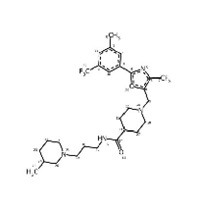 Cc1cc(-c2nc(C(F)(F)F)c(CN3CCC(C(=O)NCCCN4CCCC(C)C4)CC3)o2)cc(C(F)(F)F)c1